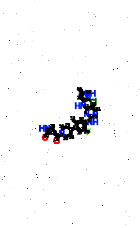 Cc1cc(Nc2nc(Nc3cc(C)c(C4CCN(C(=O)C5CNC5=O)CC4)cc3F)ncc2Cl)n[nH]1